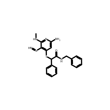 CNc1nc(N)cc(SC(C(=O)NCc2ccccc2)c2ccccc2)c1N=N